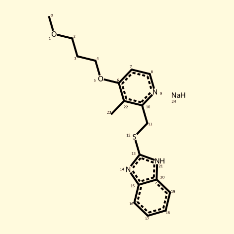 COCCCOc1ccnc(CSc2nc3ccccc3[nH]2)c1C.[NaH]